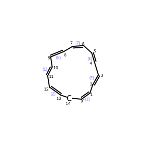 [C]1=C/C=C/C=C/C=C\C=C\C=C\C=C/C\1